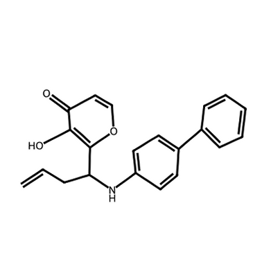 C=CCC(Nc1ccc(-c2ccccc2)cc1)c1occc(=O)c1O